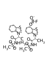 CC(C(=O)NS(C)(=O)=O)[n+]1csc2ccccc21.CC(C(=O)NS(C)(=O)=O)[n+]1csc2ccccc21.[O-]B([O-])F